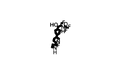 O=C(N[C@H](CF)[C@H](O)c1ccc(-c2ccc(C3(F)CCN3)nc2)cc1)C(F)F